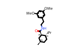 COc1cc(CCNC(=O)[C@@H]2C[C@H](C)CC[C@H]2C(C)C)cc(OC)c1